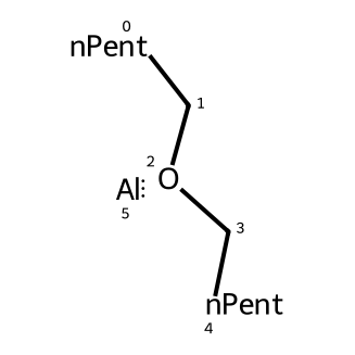 CCCCCCOCCCCCC.[Al]